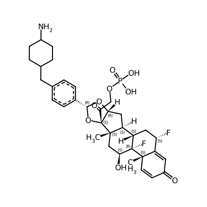 C[C@]12C=CC(=O)C=C1[C@@H](F)C[C@H]1[C@@H]3C[C@H]4O[C@@H](c5ccc(CC6CCC(N)CC6)cc5)O[C@@]4(C(=O)COP(=O)(O)O)[C@@]3(C)C[C@H](O)[C@@]12F